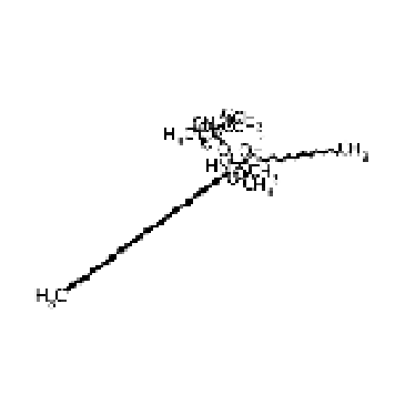 CC#CC#CC#CC#CC#CC#CC#CC#CC#CC#CC#CC#CC(=O)N[C@@H](COCC1OCC(C)(C)O[C@H]1[C@@H]1COC(C)(C)O1)[C@H](OC(C)C)[C@H](O)CCCCCCCCCCCCCC